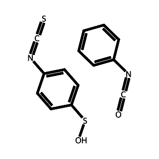 O=C=Nc1ccccc1.OSc1ccc(N=C=S)cc1